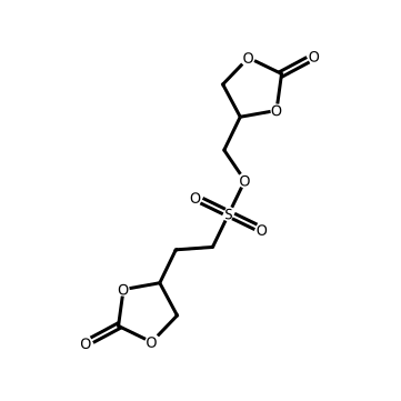 O=C1OCC(CCS(=O)(=O)OCC2COC(=O)O2)O1